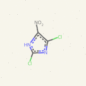 O=[N+]([O-])c1[nH]c(Cl)nc1Cl